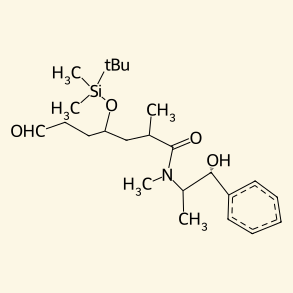 CC(CC(CCC=O)O[Si](C)(C)C(C)(C)C)C(=O)N(C)C(C)[C@H](O)c1ccccc1